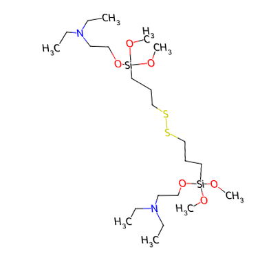 CCN(CC)CCO[Si](CCCSSCCC[Si](OC)(OC)OCCN(CC)CC)(OC)OC